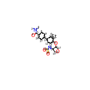 CCC.CN(C)C(=O)c1ccc(-c2ccc(OC3COCC3N=S(=O)=O)cc2)cc1